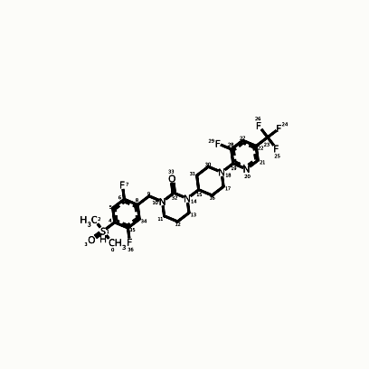 C[SH](C)(=O)c1cc(F)c(CN2CCCN(C3CCN(c4ncc(C(F)(F)F)cc4F)CC3)C2=O)cc1F